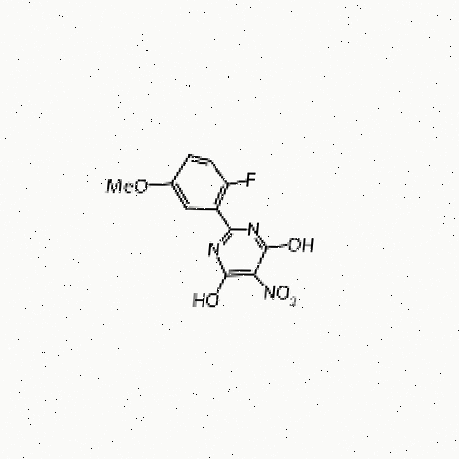 COc1ccc(F)c(-c2nc(O)c([N+](=O)[O-])c(O)n2)c1